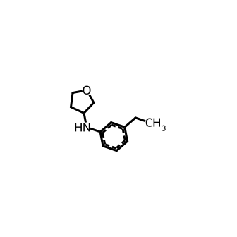 CCc1cccc(NC2CCOC2)c1